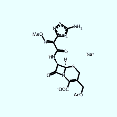 CON=C(C(=O)N[C@@H]1C(=O)N2C(C(=O)[O-])=C(COC(C)=O)CS[C@H]12)c1nsc(N)n1.[Na+]